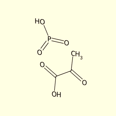 CC(=O)C(=O)O.O=P(=O)O